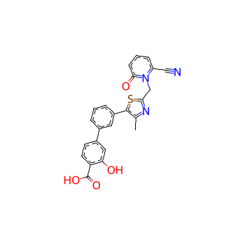 Cc1nc(Cn2c(C#N)cccc2=O)sc1-c1cccc(-c2ccc(C(=O)O)c(O)c2)c1